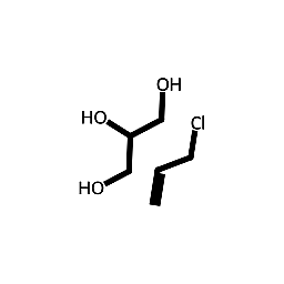 C=CCCl.OCC(O)CO